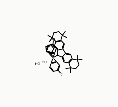 CC1(C)CCC(C)(C)c2cc3c(cc21)-c1cc2c(cc1[CH]3[Zr]13([C]4=CC=CC4)([c]4ccc(Cl)c[c]41)[c]1ccc(Cl)c[c]13)C(C)(C)CCC2(C)C.Cl.Cl